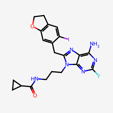 Nc1nc(F)nc2c1nc(Cc1cc3c(cc1I)CCO3)n2CCCNC(=O)C1CC1